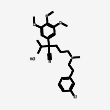 COc1cc(C(C#N)(CCCN(C)CCc2cccc(Cl)c2)C(C)C)cc(OC)c1OC.Cl